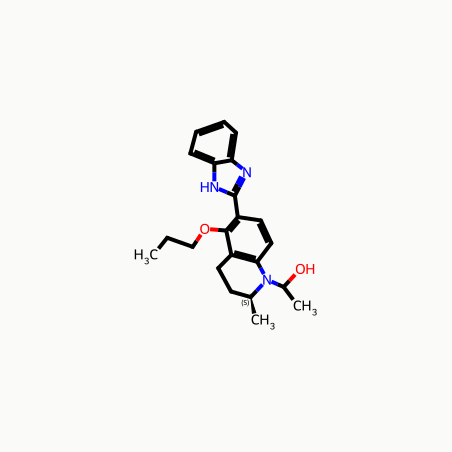 CCCOc1c(-c2nc3ccccc3[nH]2)ccc2c1CC[C@H](C)N2C(C)O